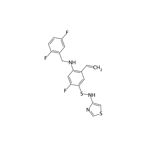 C=Cc1cc(SNc2cscn2)c(F)cc1NCc1cc(F)ccc1F